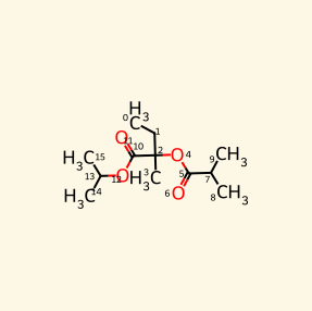 CCC(C)(OC(=O)C(C)C)C(=O)OC(C)C